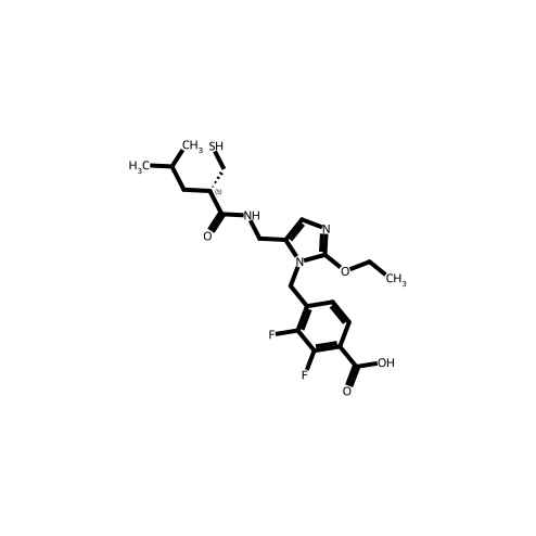 CCOc1ncc(CNC(=O)[C@@H](CS)CC(C)C)n1Cc1ccc(C(=O)O)c(F)c1F